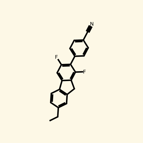 CCc1ccc2c(c1)Cc1c-2cc(F)c(-c2ccc(C#N)cc2)c1F